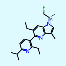 CCc1cc2c(nc1-c1ccc(C(C)C)nc1CC)c(C)cn2[C@@H](C)CF